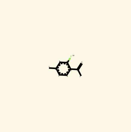 C=C(C)c1ccc(C)cc1F